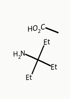 CC(=O)O.CCC(N)(CC)CC